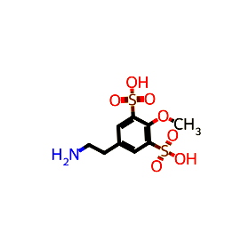 COc1c(S(=O)(=O)O)cc(CCN)cc1S(=O)(=O)O